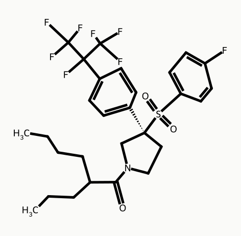 CCCCC(CCC)C(=O)N1CC[C@](c2ccc(C(F)(C(F)(F)F)C(F)(F)F)cc2)(S(=O)(=O)c2ccc(F)cc2)C1